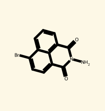 NN1C(=O)c2cccc3c(Br)ccc(c23)C1=O